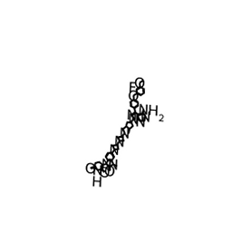 COc1cccc(Oc2ccc(-c3nn(C4CC5CN(C6CN(C7CN(c8ccc9c(c8)n(C)c(=O)n9C8CCC(=O)NC8=O)C7)C6)CC5C4)c4ncnc(N)c34)cc2)c1F